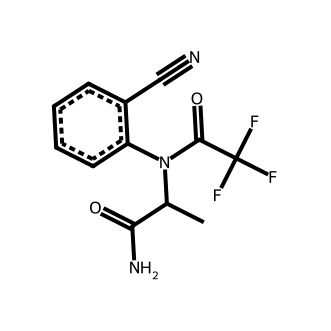 CC(C(N)=O)N(C(=O)C(F)(F)F)c1ccccc1C#N